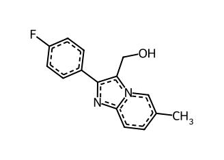 Cc1ccc2nc(-c3ccc(F)cc3)c(CO)n2c1